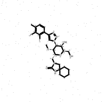 CO[C@@H]1[C@@H](n2cc(-c3ccc(C)c(F)c3F)nn2)[C@@H](O)[C@@H](CO)O[C@@H]1CN1CC2(CCCCC2)NC1=O